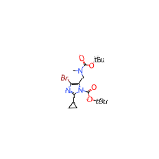 CN(Cc1c(Br)nc(C2CC2)n1C(=O)OC(C)(C)C)C(=O)OC(C)(C)C